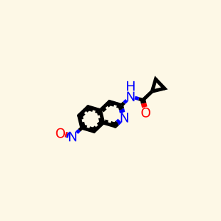 O=Nc1ccc2cc(NC(=O)C3CC3)ncc2c1